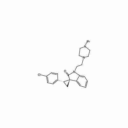 CC(C)N1CCN(CCN2C(=O)[C@]3(C[C@@H]3c3ccc(Cl)cc3)c3ccccc32)CC1